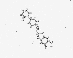 CCc1cn2c(nc1=O)OC(COc1ccc(-c3ccccc3C)cc1)C2